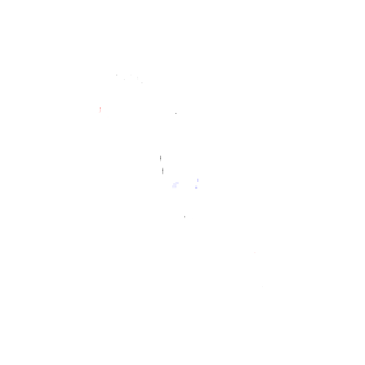 COC(=O)c1cccc(/C=N/c2cccc(C3OCCO3)c2)c1[N+](=O)[O-]